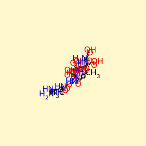 CC(=O)c1ccc(C[C@@H](NC(=O)[C@@H](CCC(=O)O)NC(=O)[C@@H](CCC(=O)O)NC(=O)[C@@H](CCC(=O)O)CC(=O)[C@@H](CCC(=O)O)NC(=O)[C@H](N)CCC(=O)O)C(=O)NCCOCC(=O)N[C@@H](CCCNC(=N)N)C(C)=O)cc1